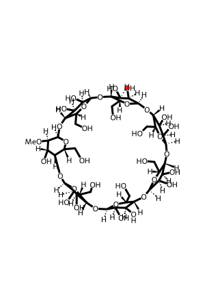 CO[C@H]1[C@H]2O[C@@H]3[C@@H](O)[C@@H](O)[C@@H](O[C@@H]4[C@@H](O)[C@@H](O)[C@@H](O[C@@H]5[C@@H](O)[C@@H](O)[C@@H](O[C@@H]6[C@@H](O)[C@@H](O)[C@@H](O[C@@H]7[C@@H](O)[C@@H](O)[C@@H](O[C@@H]8[C@@H](O)[C@@H](O)[C@@H](O[C@H]([C@@H]1O)[C@@H](CO)O2)O[C@@H]8CO)O[C@@H]7CO)O[C@@H]6CO)O[C@@H]5CO)O[C@@H]4CO)O[C@@H]3CO